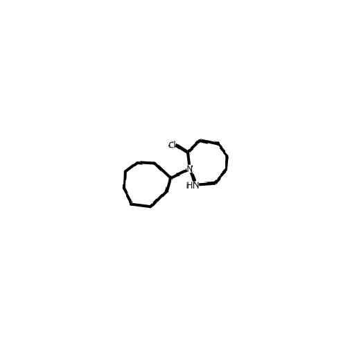 ClC1CCCCCNN1C1CCCCCCC1